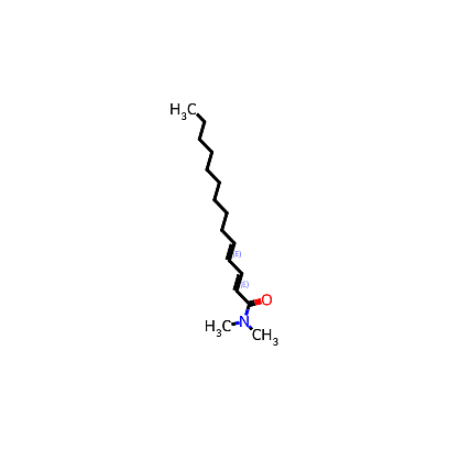 CCCCCCCCC/C=C/C=C/C(=O)N(C)C